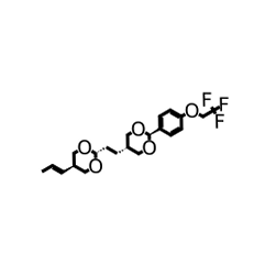 C/C=C/[C@H]1CO[C@H](CC[C@H]2CO[C@H](c3ccc(OCC(F)(F)F)cc3)OC2)OC1